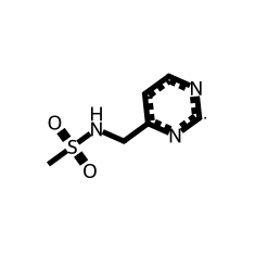 CS(=O)(=O)NCc1ccn[c]n1